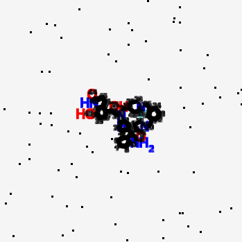 NC(=O)C(c1ccccc1)(c1ccccc1)[C@@H]1CCN(Cc2cccc(CN3CCC(CNC[C@@H](O)c4ccc(O)c5[nH]c(=O)ccc45)CC3)c2F)C1